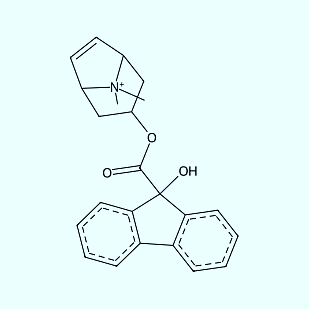 C[N+]1(C)C2C=CC1CC(OC(=O)C1(O)c3ccccc3-c3ccccc31)C2